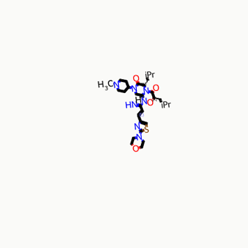 CC(C)C[C@H]1ON(C(=N)/C=C/c2csc(N3CCOCC3)n2)[C@H]2CN(C3CCN(C)CC3)C(=O)[C@H](CC(C)C)N2C1=O